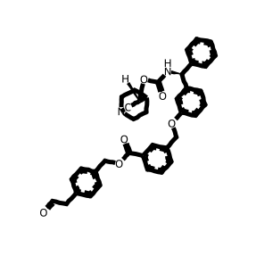 O=CCc1ccc(COC(=O)c2cccc(COc3cccc([C@@H](NC(=O)O[C@H]4CN5CCC4CC5)c4ccccc4)c3)c2)cc1